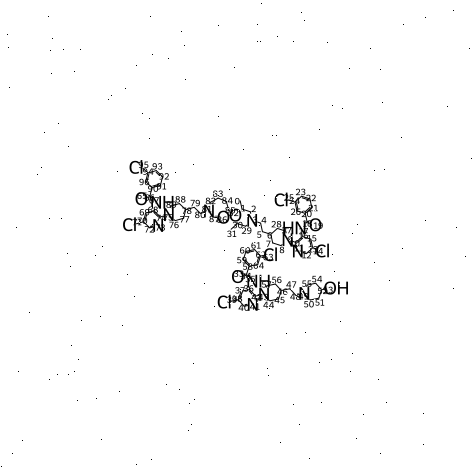 CC1CN(CCC2CCN(c3ncc(Cl)cc3NC(=O)c3cccc(Cl)c3)CC2)CC(C)O1.O=C(Nc1cc(Cl)cnc1N1CCC(CCN2CCC(O)CC2)CC1)c1cccc(Cl)c1.O=C(Nc1cc(Cl)cnc1N1CCC(CCN2CCCCOC2)CC1)c1cccc(Cl)c1